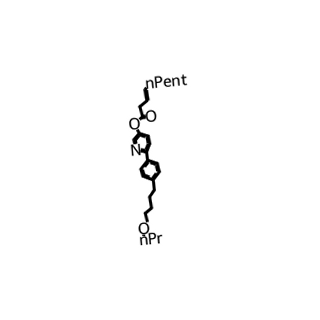 CCCCCC=CCC(=O)Oc1ccc(-c2ccc(CCCCCOCCC)cc2)nc1